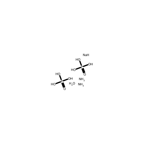 N.N.O.O=P(O)(O)O.O=P(O)(O)O.[NaH]